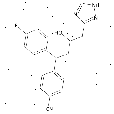 N#Cc1ccc(C(CC(O)Cc2nc[nH]n2)c2ccc(F)cc2)cc1